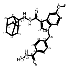 COc1ccc2c(c1)c(C(=O)NNC1C3CC4CC(C3)CC1C4)cn2Cc1ccc(C(=O)NO)cc1